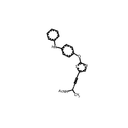 CC(=O)NC(C)C#Cc1cnc(Oc2ccc(Nc3ccccc3)cc2)s1